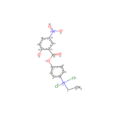 CC[N+](Cl)(Cl)c1ccc(OC(=O)c2cc([N+](=O)[O-])ccc2[O-])cc1